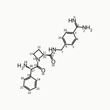 N=C(N)c1ccc(CNC(=O)[C@@H]2CCN2C(=O)[C@H](N)c2ccccc2)cc1